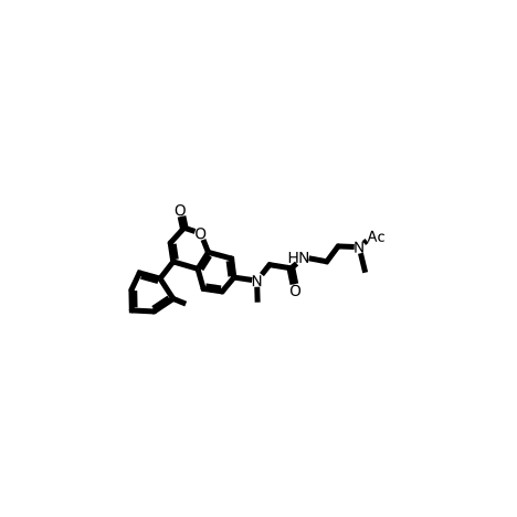 CC(=O)N(C)CCNC(=O)CN(C)c1ccc2c(-c3ccccc3C)cc(=O)oc2c1